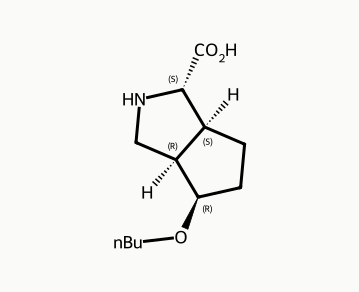 CCCCO[C@@H]1CC[C@H]2[C@@H]1CN[C@@H]2C(=O)O